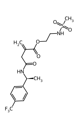 C=C(CC(=O)N[C@@H](C)c1ccc(C(F)(F)F)cc1)C(=O)OCCNS(C)(=O)=O